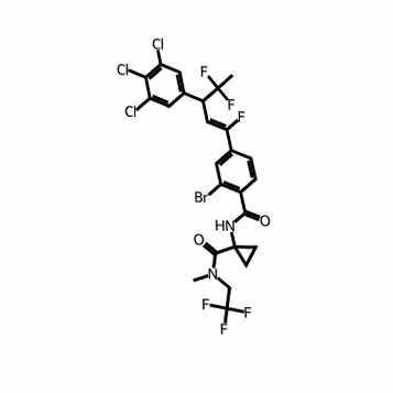 CN(CC(F)(F)F)C(=O)C1(NC(=O)c2ccc(/C(F)=C/C(c3cc(Cl)c(Cl)c(Cl)c3)C(C)(F)F)cc2Br)CC1